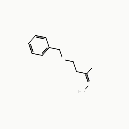 C/C(CCOCc1ccccc1)=N/O